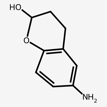 Nc1ccc2c(c1)CCC(O)O2